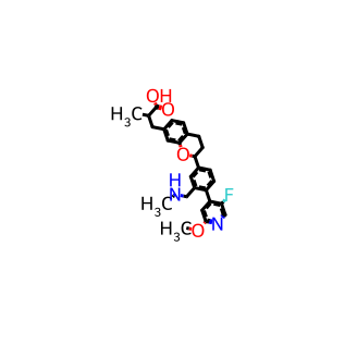 CNCc1cc(C2CCc3ccc(CC(C)C(=O)O)cc3O2)ccc1-c1cc(OC)ncc1F